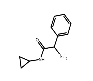 NC(C(=O)NC1CC1)c1ccccc1